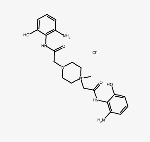 C[N+]1(CC(=O)Nc2c(N)cccc2O)CCN(CC(=O)Nc2c(N)cccc2O)CC1.[Cl-]